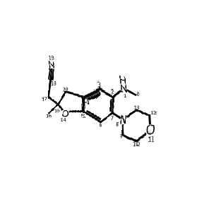 CNc1cc2c(cc1N1CCOCC1)OC(C)(CC#N)C2